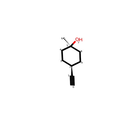 C#C[C@H]1CC[C@@](C)(O)CC1